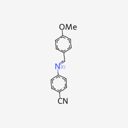 COc1ccc(/C=N/c2ccc(C#N)cc2)cc1